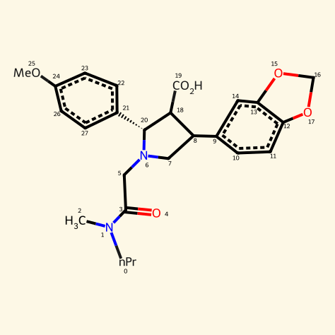 CCCN(C)C(=O)CN1CC(c2ccc3c(c2)OCO3)C(C(=O)O)[C@H]1c1ccc(OC)cc1